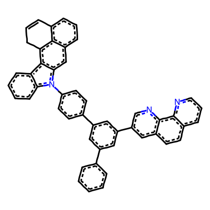 C1=Cc2cccc3cc4c(c(c23)C1)c1ccccc1n4-c1ccc(-c2cc(-c3ccccc3)cc(-c3cnc4c(ccc5cccnc54)c3)c2)cc1